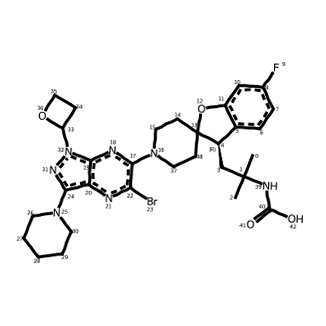 CC(C)(C[C@@H]1c2ccc(F)cc2OC12CCN(c1nc3c(nc1Br)c(N1CCCCC1)nn3C1CCO1)CC2)NC(=O)O